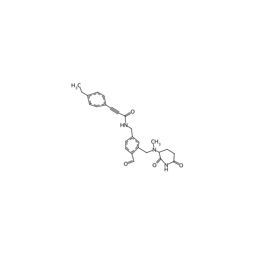 CCc1ccc(C#CC(=O)NCc2ccc(C=O)c(CN(C)C3CCC(=O)NC3=O)c2)cc1